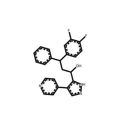 OC(CC(c1ccccc1)c1ccc(F)c(F)c1)c1[nH]ncc1-c1ccncc1